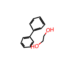 OCCO.c1ccc(-c2ccccc2)cc1